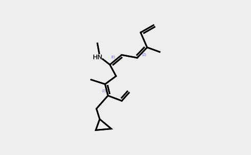 C=C/C(C)=C\C=C(/C/C(C)=C(\C=C)CC1CC1)NC